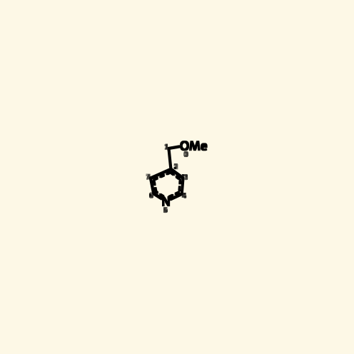 COCc1[c]cncc1